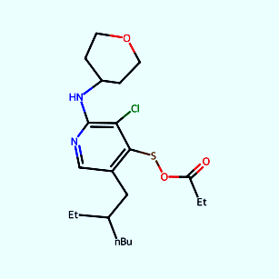 CCCCC(CC)Cc1cnc(NC2CCOCC2)c(Cl)c1SOC(=O)CC